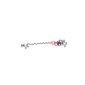 CCCCCCCCCCCCCCCCCCOCC(O)CN(C)C